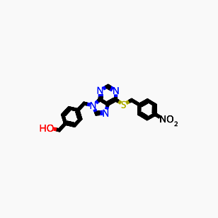 O=[N+]([O-])c1ccc(CSc2ncnc3c2ncn3Cc2ccc(CO)cc2)cc1